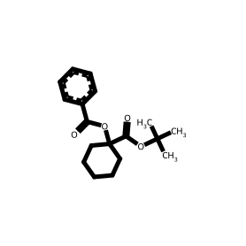 CC(C)(C)OC(=O)C1(OC(=O)c2ccccc2)CCCCC1